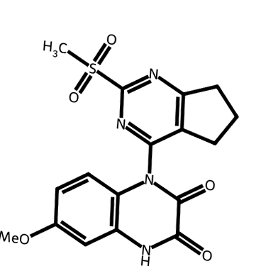 COc1ccc2c(c1)[nH]c(=O)c(=O)n2-c1nc(S(C)(=O)=O)nc2c1CCC2